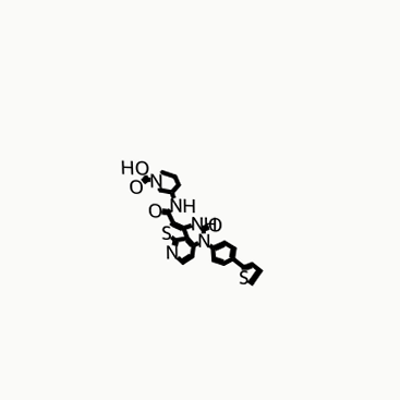 O=C(NC1CCCN(C(=O)O)C1)c1sc2nccc3c2c1NC(=O)N3c1ccc(-c2cccs2)cc1